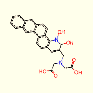 O=C(O)CN(CC(=O)O)CC1=Cc2ccc3c(ccc4cc5ccccc5cc43)c2N(O)C1O